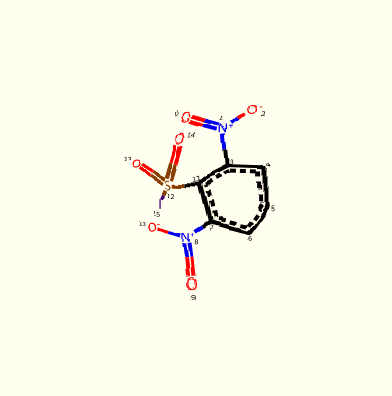 O=[N+]([O-])c1cccc([N+](=O)[O-])c1S(=O)(=O)I